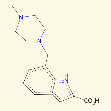 CN1CCN(Cc2cccc3cc(C(=O)O)[nH]c23)CC1